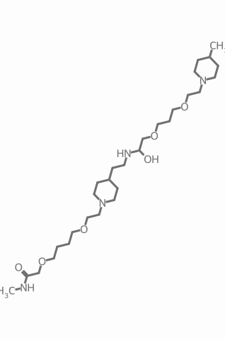 CNC(=O)COCCCCOCCN1CCC(CCNC(O)COCCCOCCN2CCC(C)CC2)CC1